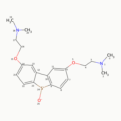 CN(C)CCOc1ccc2c(c1)c1cc(OCCN(C)C)ccc1[s+]2[O-]